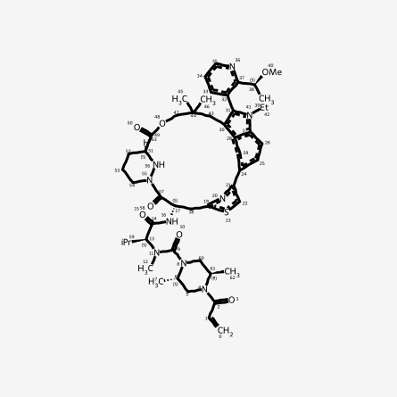 C=CC(=O)N1C[C@H](C)N(C(=O)N(C)[C@H](C(=O)N[C@H]2Cc3nc(cs3)-c3ccc4c(c3)c(c(-c3cccnc3[C@H](C)OC)n4CC)CC(C)(C)COC(=O)[C@@H]3CCCN(N3)C2=O)C(C)C)C[C@H]1C